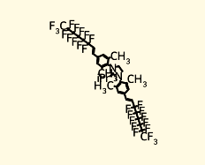 Cc1cc(/C=C/C(F)(F)C(F)(F)C(F)(F)C(F)(F)C(F)(F)C(F)(F)F)cc(C)c1N1CCN(c2c(C)cc(/C=C/C(F)(F)C(F)(F)C(F)(F)C(F)(F)C(F)(F)C(F)(F)F)cc2C)C1C(C)C